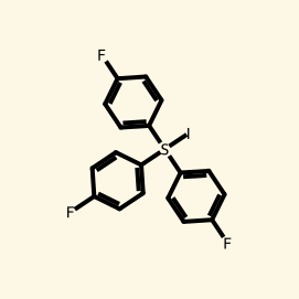 Fc1ccc(S(I)(c2ccc(F)cc2)c2ccc(F)cc2)cc1